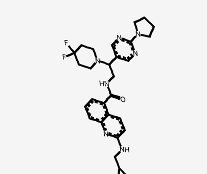 O=C(NCC(c1cnc(N2CCCC2)nc1)N1CCC(F)(F)CC1)c1cccc2nc(NCC3CC3)ccc12